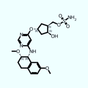 COc1ccc2c(c1)[C@@H](Nc1cc(O[C@@H]3C[C@@H](COS(N)(=O)=O)[C@@H](O)C3)ncn1)[C@@H](OC)CC2